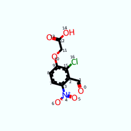 O=Cc1c([N+](=O)[O-])ccc(OCC(=O)O)c1Cl